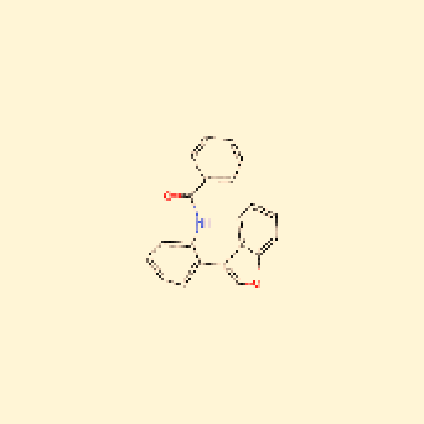 O=C(Nc1ccccc1-c1coc2ccccc12)c1ccccc1